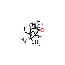 C[C@@H]1[C@@H](C)C(=O)[C@H]2C[C@@H]1C2(C)C